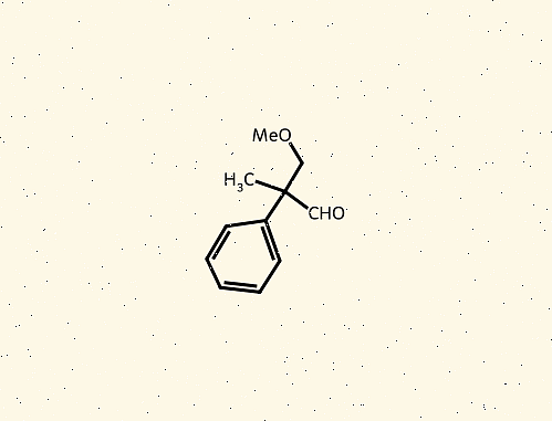 COCC(C)(C=O)c1ccccc1